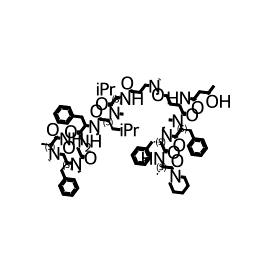 CC(C)C[C@@H](C(=O)N(C)C(Cc1ccccc1)C(=O)NCC(=O)N(C)[C@@H](Cc1ccccc1)C(=O)N(C)[C@@H](C)C(N)=O)N(C)C(=O)[C@@H](NC(=O)CCN(C)OCCC(NC(=O)CC(C)O)C(=O)N(C)[C@@H](Cc1ccccc1)C(=O)N(C)[C@@H](Cc1ccccc1)C(=O)N[C@@H](C)C(=O)N1CCCCC1)C(C)C